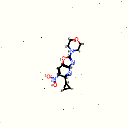 O=[N+]([O-])c1cc2oc(N3CCOCC3)nc2nc1C1CC1